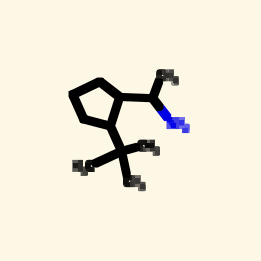 CC(N)C1CCCC1C(C)(C)C